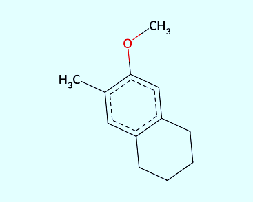 COc1cc2c(cc1C)CCCC2